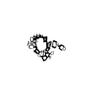 CO[C@@]1(CN2CCN(C3CCOCC3)CC2)C2=C[C@@H](C2)[C@H](C)[C@@H](C)S(=O)(=O)NC(=O)c2ccc3c(c2)N(C[C@@H]2CC[C@H]21)C[C@@]1(CCCc2c1ccc(Cl)c2F)CO3